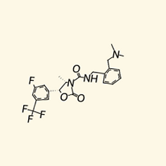 C[C@H]1[C@@H](c2cc(F)cc(C(F)(F)F)c2)OC(=O)N1C(=O)NCc1ccccc1CN(C)C